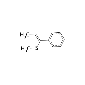 C/C=C(\SC)c1ccccc1